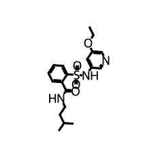 CCOc1cncc(NS(=O)(=O)c2ccccc2C(=O)NCCC(C)C)c1